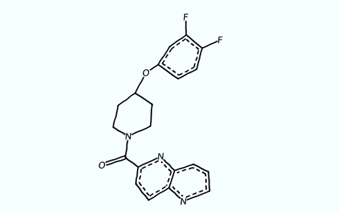 O=C(c1ccc2ncccc2n1)N1CCC(Oc2ccc(F)c(F)c2)CC1